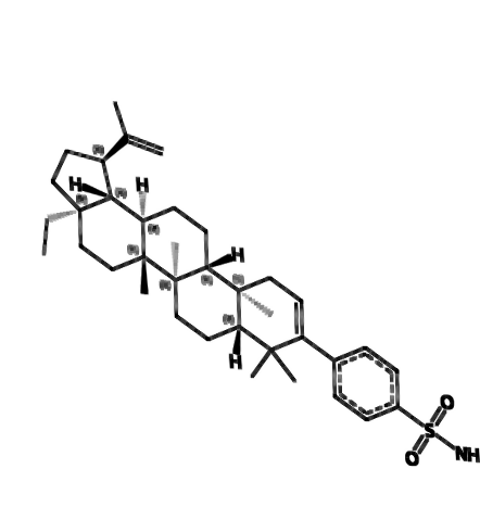 C=C(C)[C@@H]1CC[C@]2(CC)CC[C@]3(C)[C@H](CC[C@@H]4[C@@]5(C)CC=C(c6ccc(S(N)(=O)=O)cc6)C(C)(C)[C@@H]5CC[C@]43C)[C@@H]12